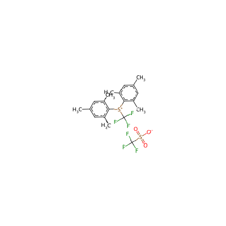 Cc1cc(C)c([S+](c2c(C)cc(C)cc2C)C(F)(F)F)c(C)c1.O=S(=O)([O-])C(F)(F)F